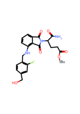 CC(C)(C)OC(=O)CCC(C(N)=O)N1C(=O)c2cccc(NCc3ccc(CO)cc3F)c2C1=O